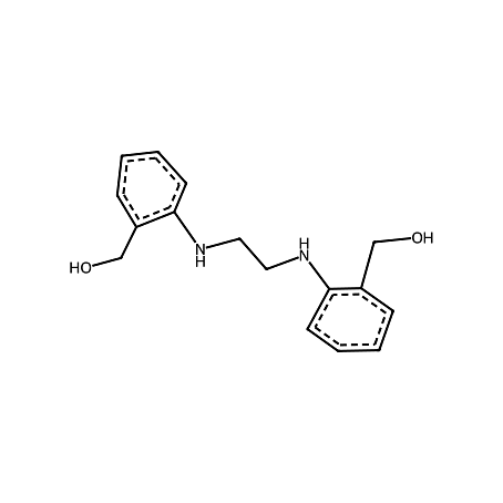 OCc1ccccc1NCCNc1ccccc1CO